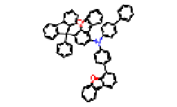 c1ccc(-c2ccc(N(c3ccc(-c4cccc5c4oc4ccccc45)cc3)c3ccc(C4(c5ccccc5)c5ccccc5-c5ccccc54)c4oc5ccccc5c34)cc2)cc1